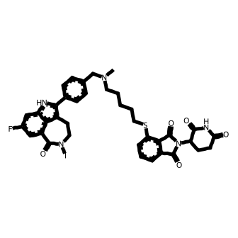 CN(CCCCCSc1cccc2c1C(=O)N(C1CCC(=O)NC1=O)C2=O)Cc1ccc(-c2[nH]c3cc(F)cc4c3c2CCN(I)C4=O)cc1